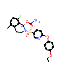 CCOc1ccc(Oc2ccc(S(=O)(=O)N3CCc4c(C)ccc(F)c4[C@@H]3OC(N)=O)cn2)cc1